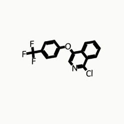 FC(F)(F)c1ccc(Oc2cnc(Cl)c3ccccc23)cc1